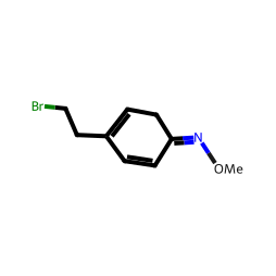 CON=C1C=CC(CCBr)=CC1